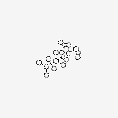 c1ccc(-c2cc(-c3ccccc3)cc([Si](c3ccccc3)(c3ccccc3)c3cc(-c4ccccc4)c(-n4c5ccccc5c5cc(-n6c7ccccc7c7cccc(-c8ccccc8-c8cccc9sc%10ccccc%10c89)c76)ccc54)c(-c4ccccc4)c3)c2)cc1